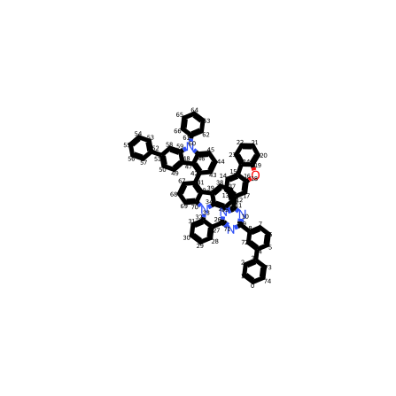 c1ccc(-c2cccc(-c3nc(-c4ccc5c(c4)oc4ccccc45)nc(-c4ccccc4-n4c5ccccc5c5c(-c6cccc7c6c6ccc(-c8ccccc8)cc6n7-c6ccccc6)cccc54)n3)c2)cc1